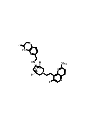 COc1ccc2ncc(F)c(CCN3C[C@H]4C[C@H](NCc5ccc6c(n5)NC(=O)CS6)[C@H](C3)O4)c2n1